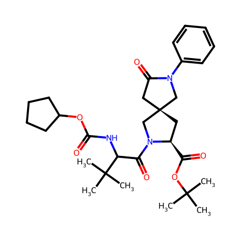 CC(C)(C)OC(=O)[C@@H]1C[C@]2(CC(=O)N(c3ccccc3)C2)CN1C(=O)C(NC(=O)OC1CCCC1)C(C)(C)C